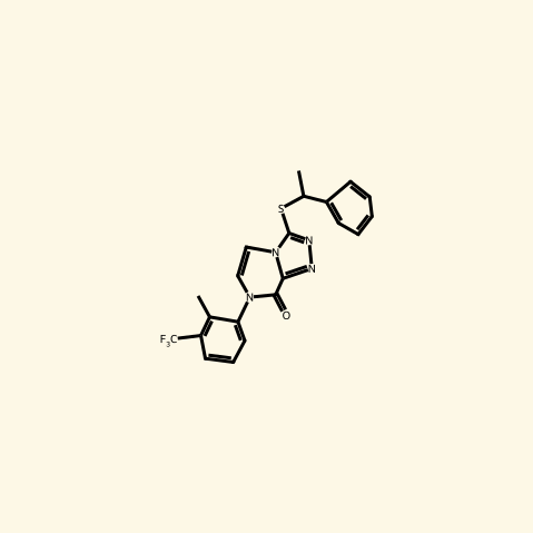 Cc1c(-n2ccn3c(SC(C)c4ccccc4)nnc3c2=O)cccc1C(F)(F)F